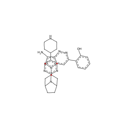 Nc1nn(C2CC3CCC(C2)N3c2ncc(C3CCNCC3)cn2)c2cc(-c3ccccc3O)nnc12